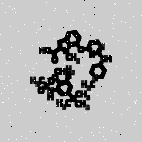 CN1CCC(Nc2nccc(Oc3cccc4cc(C(=O)O)n(C)c34)n2)CC1.COc1c(N)cc(C(C)(C)C)cc1NS(C)(=O)=O